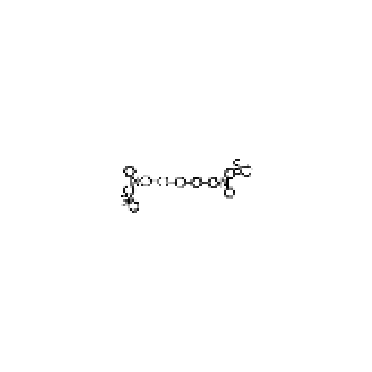 C1=CC(N(c2ccccc2)c2ccc3oc4ccccc4c3c2)CC=C1c1ccc(-c2ccc(-c3ccc(-c4ccc(N(c5ccccc5)c5ccc6sc7ccccc7c6c5)cc4)cc3)cc2)cc1